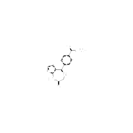 COC(=O)c1ccc(C2=NCC(=O)Nc3sccc32)cc1